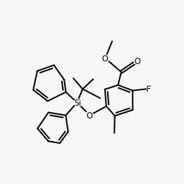 COC(=O)c1cc(O[Si](c2ccccc2)(c2ccccc2)C(C)(C)C)c(C)cc1F